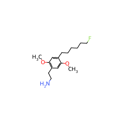 COc1cc(CCCCCCF)c(OC)cc1CCN